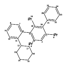 CC(C)c1cc(C(C)C)c(-c2ccccc2C2CCCCC2)c(C(C)C)c1-c1ccccc1